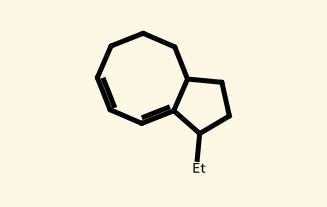 CCC1CCC2CCC/C=C\C=C\12